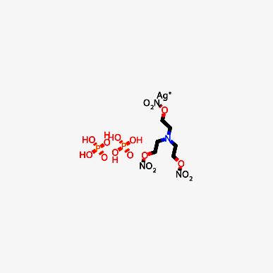 O=P(O)(O)O.O=P(O)(O)O.O=[N+]([O-])OCCN(CCO[N+](=O)[O-])CCO[N+](=O)[O-].[Ag+]